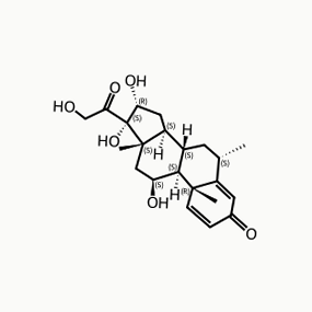 C[C@H]1C[C@@H]2[C@H]([C@@H](O)C[C@@]3(C)[C@H]2C[C@@H](O)[C@]3(O)C(=O)CO)[C@@]2(C)C=CC(=O)C=C12